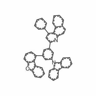 c1ccc(-c2cc(-c3cc(-c4cccc5oc6ccccc6c45)cc(-n4c5ccccc5c5ccccc54)c3)nc3ccc4ccccc4c23)cc1